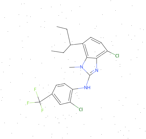 CCC(CC)c1ccc(Cl)c2nc(Nc3ccc(C(F)(F)F)cc3Cl)n(C)c12